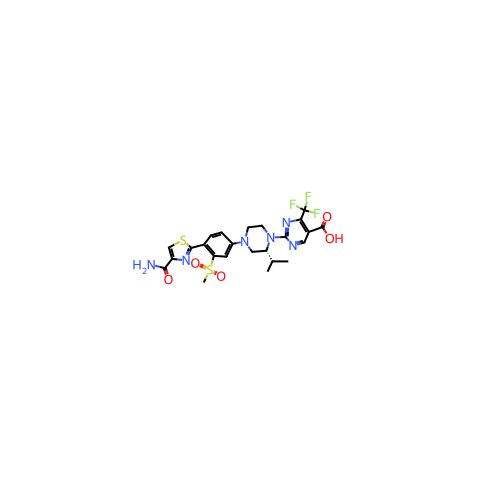 CC(C)[C@@H]1CN(c2ccc(-c3nc(C(N)=O)cs3)c(S(C)(=O)=O)c2)CCN1c1ncc(C(=O)O)c(C(F)(F)F)n1